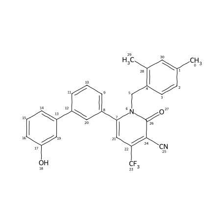 Cc1ccc(Cn2c(-c3cccc(-c4cccc(O)c4)c3)cc(C(F)(F)F)c(C#N)c2=O)c(C)c1